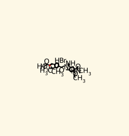 Br.CCOc1cc2c(cc1C(=O)NC)C(=N)N(CC(=O)c1ccc(/C=C/C(=O)O)c(C(C)(C)C)c1)C2